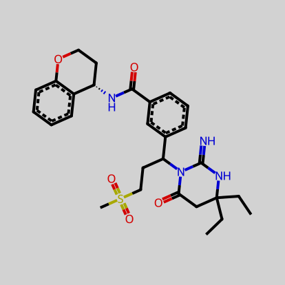 CCC1(CC)CC(=O)N(C(CCS(C)(=O)=O)c2cccc(C(=O)N[C@H]3CCOc4ccccc43)c2)C(=N)N1